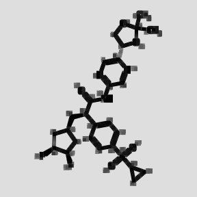 CC1(C)OC[C@@H](c2cnc(NC(=O)[C@H](C[C@H]3C[C@@H](F)[C@@H](F)C3)c3ccc(S(=O)(=O)C4CC4)cc3)cn2)O1